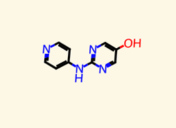 Oc1cnc(Nc2ccncc2)nc1